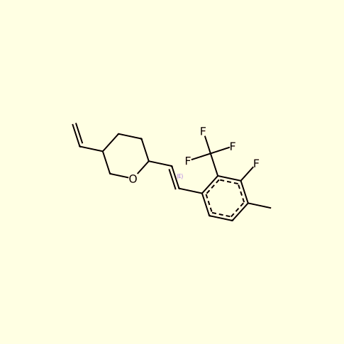 C=CC1CCC(/C=C/c2ccc(C)c(F)c2C(F)(F)F)OC1